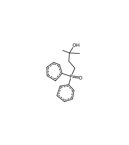 CC(C)(O)CCP(=O)(c1ccccc1)c1ccccc1